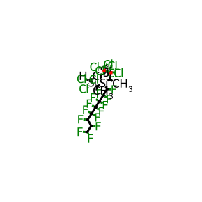 CC([Si](Cl)(Cl)Cl)[Si](C(F)C(F)(F)C(F)(F)C(F)(F)C(F)(F)C(F)C(F)C(F)F)(C(C)[Si](Cl)(Cl)Cl)C(C)[Si](Cl)(Cl)Cl